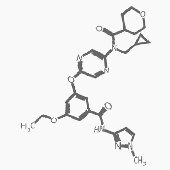 CCOc1cc(Oc2cnc(N(CC3CC3)C(=O)C3CCOCC3)cn2)cc(C(=O)Nc2ccn(C)n2)c1